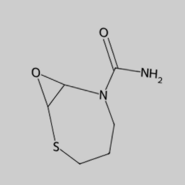 NC(=O)N1CCCSC2OC21